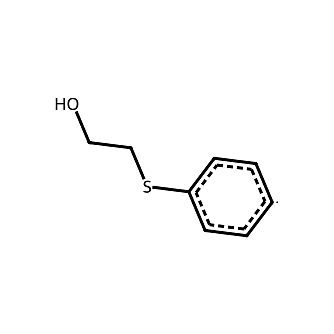 OCCSc1cc[c]cc1